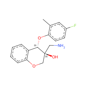 Cc1cc(F)ccc1O[C@H]1c2ccccc2OC[C@@]1(O)CN